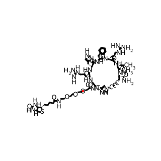 CC(C)C[C@H]1NC(=O)[C@@H](CCCNC(=N)N)NC(=O)[C@@H](Cc2ccccc2)NC(=O)[C@@H](Cc2c[nH]cn2)NC(=O)[C@@H](CCCNC(=N)N)NC(=O)[C@@H](NC(=O)COCCOCCOCCNC(=O)CCCC[C@@H]2SC[C@@H]3NC(=O)N[C@@H]32)Cc2cn(nn2)CCCC[C@@H](C(N)=O)NC1=O